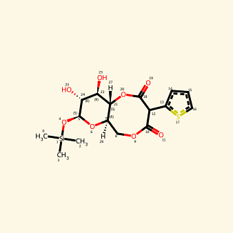 C[Si](C)(C)O[C@@H]1O[C@@H]2COC(=O)C(c3cccs3)C(=O)O[C@H]2[C@H](O)[C@H]1O